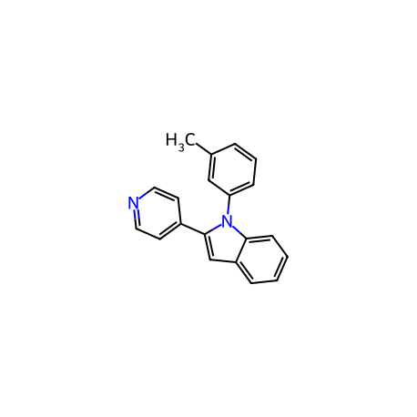 Cc1cccc(-n2c(-c3ccncc3)cc3ccccc32)c1